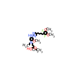 CCCN(CCCC(C)(CO)OCC)c1ccc(Nc2ncc(CCCCc3c(F)c(OC)cc(OC)c3F)cn2)cc1OC